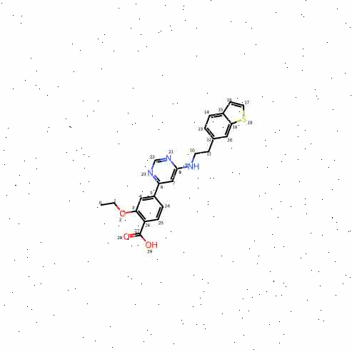 CCOc1cc(-c2cc(NCCc3ccc4ccsc4c3)ncn2)ccc1C(=O)O